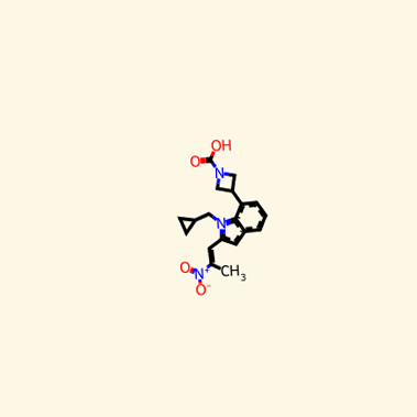 CC(=Cc1cc2cccc(C3CN(C(=O)O)C3)c2n1CC1CC1)[N+](=O)[O-]